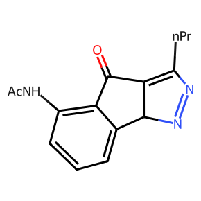 CCCC1=C2C(=O)c3c(NC(C)=O)cccc3C2N=N1